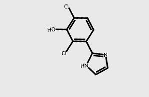 Oc1c(Cl)ccc(-c2ncc[nH]2)c1Cl